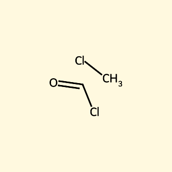 CCl.O=CCl